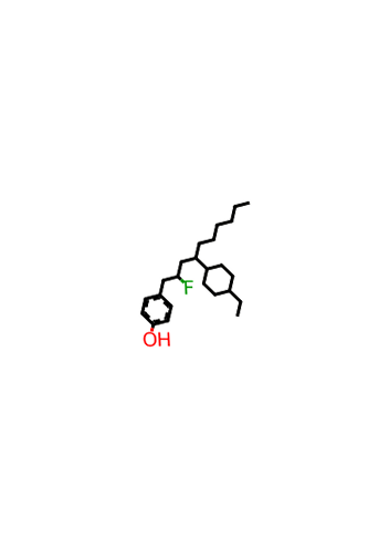 CCCCCCC(CC(F)Cc1ccc(O)cc1)C1CCC(CC)CC1